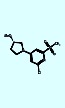 CO[C@H]1CCN(c2cc(Cl)nc(S(C)(=O)=O)c2)C1